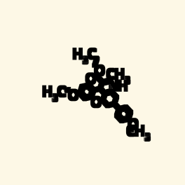 CCCOC(=O)C1=C(C)NC2=C(C(=O)CC(c3ccc(OC)cc3)C2)C1c1ccc(OCC)cc1